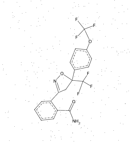 NC(=O)c1ccccc1C1=NOC(c2ccc(OC(F)(F)F)cc2)(C(F)(F)F)C1